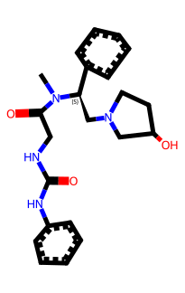 CN(C(=O)CNC(=O)Nc1ccccc1)[C@H](CN1CCC(O)C1)c1ccccc1